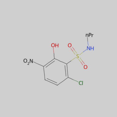 CCCNS(=O)(=O)c1c(Cl)ccc([N+](=O)[O-])c1O